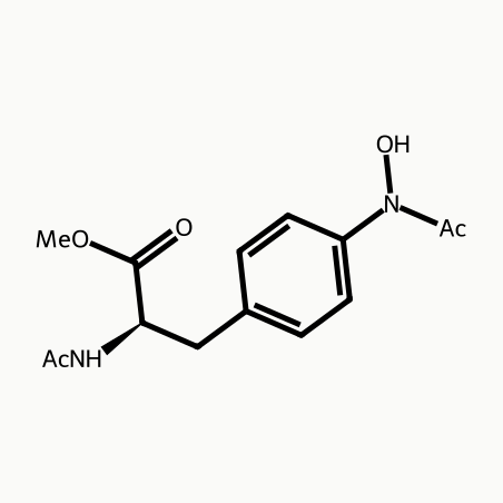 COC(=O)[C@@H](Cc1ccc(N(O)C(C)=O)cc1)NC(C)=O